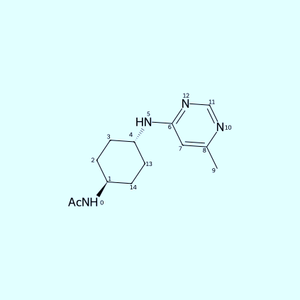 CC(=O)N[C@H]1CC[C@H](Nc2cc(C)ncn2)CC1